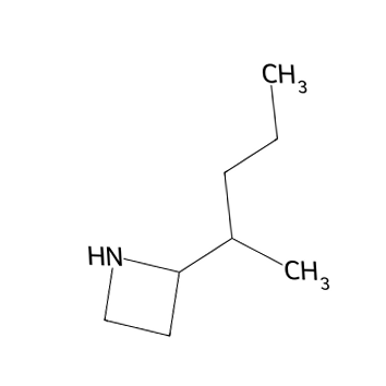 CCCC(C)C1CCN1